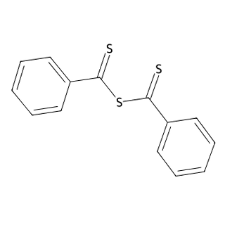 S=C(SC(=S)c1ccccc1)c1ccccc1